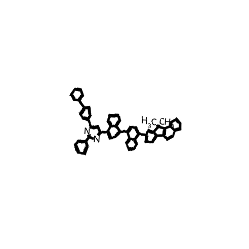 CC1(C)c2cc(-c3ccc(-c4ccc(-c5cc(-c6ccc(-c7ccccc7)cc6)nc(-c6ccccc6)n5)c5ccccc45)c4ccccc34)ccc2-c2ccc3ccccc3c21